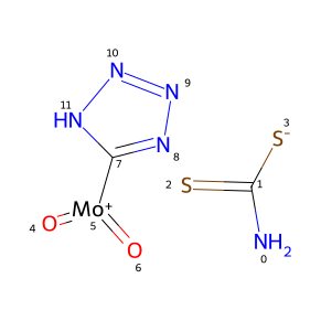 NC(=S)[S-].[O]=[Mo+](=[O])[c]1nnn[nH]1